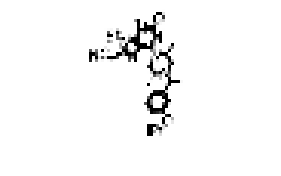 CCn1c(CC#N)nc2c(N3C[C@@H](C)N(C(C)c4cccc(OC(C)C)c4)C[C@@H]3C)nc(=O)n(C)c21